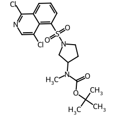 CN(C(=O)OC(C)(C)C)C1CCN(S(=O)(=O)c2cccc3c(Cl)ncc(Cl)c23)C1